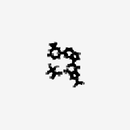 O=C(Nc1cn(C(F)F)nc1C(F)(F)F)c1cnn2ccc(N3CCNCC4(CC4)C3)nc12.O=C(O)C(F)(F)F